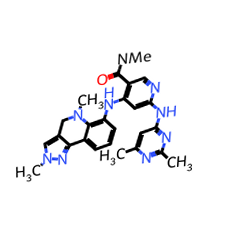 CNC(=O)c1cnc(Nc2cc(C)nc(C)n2)cc1Nc1cccc2c1N(C)Cc1cn(C)nc1-2